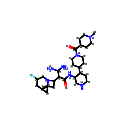 CCCC12CC(F)CN3C(C(C(=O)NC4CNCCC4C4CCN(C(=O)C5CCN(C)CC5)CC4)C(N)N)CC31C2